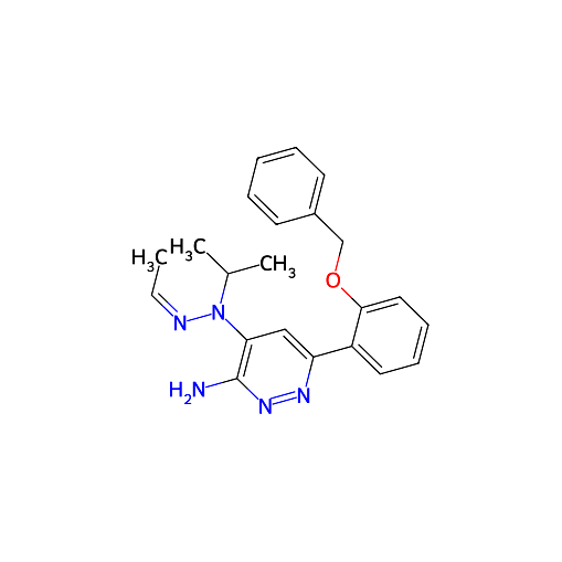 C/C=N\N(c1cc(-c2ccccc2OCc2ccccc2)nnc1N)C(C)C